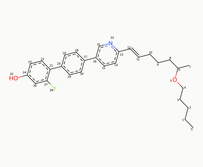 CCCCCOC(C)CCCC=Cc1ccc(-c2ccc(-c3ccc(O)cc3F)cc2)cn1